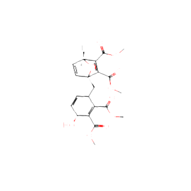 COC(=O)C1=C(C(=O)OC)[C@@H](O)C=CC1C[C@@]12C=C[C@@H](O1)C(C(=O)OC)=C2C(=O)OC